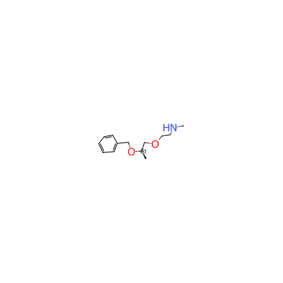 CNCCOC[C@@H](C)OCc1ccccc1